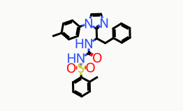 Cc1ccc(-n2ccnc2C(Cc2ccccc2)NC(=O)NS(=O)(=O)c2ccccc2C)cc1